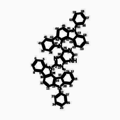 Cn1c(-n2c3ccccc3c3ccc4c(c5ccccc5n4-c4ccccc4)c32)nc2c1NCN=C2n1c2ccccc2c2ccc3c(c4ccccc4n3-c3ccccc3)c21